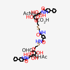 CC(=O)N[C@H]1[C@H]([C@H](O)[C@H](O)CNC(=O)c2ccc(-c3ccccc3)cc2)O[C@](C=O)(OCCCSCNC(=O)c2cccc(C(=O)NCCSCCCO[C@]3(C(=O)O)C[C@H](O)[C@@H](NC(C)=O)[C@H]([C@H](O)[C@H](O)CNC(=O)c4ccc(-c5ccccc5)cc4)O3)c2)C[C@@H]1O